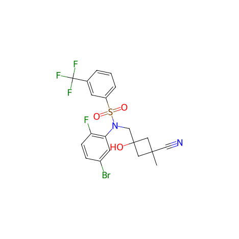 CC1(C#N)CC(O)(CN(c2cc(Br)ccc2F)S(=O)(=O)c2cccc(C(F)(F)F)c2)C1